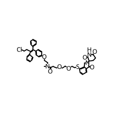 CN(CCOc1ccc(C(=C(CCCl)c2ccccc2)c2ccccc2)cc1)C(=O)CCOCCOCCSc1cccc2c1CN(C1CCC(=O)NC1=O)C2=O